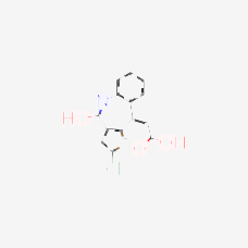 O=C(O)C=C1c2ccccc2N=C(O)c2cc(Cl)sc21